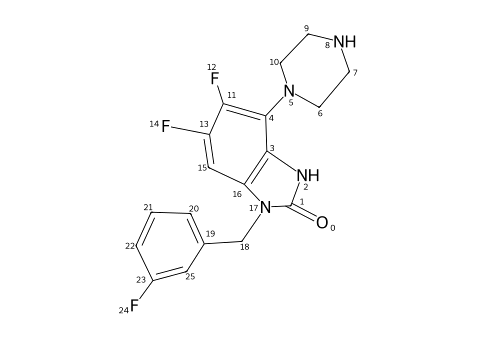 O=c1[nH]c2c(N3CCNCC3)c(F)c(F)cc2n1Cc1cccc(F)c1